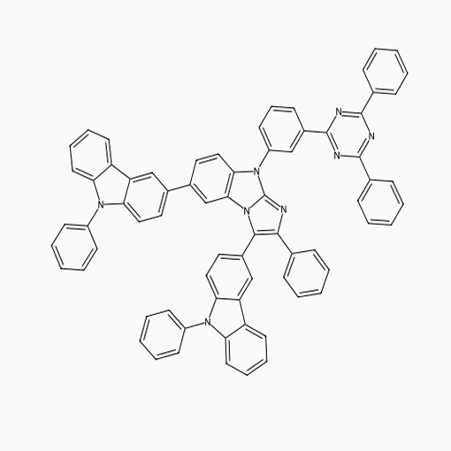 c1ccc(-c2nc(-c3ccccc3)nc(-c3cccc(-n4c5ccc(-c6ccc7c(c6)c6ccccc6n7-c6ccccc6)cc5n5c(-c6ccc7c(c6)c6ccccc6n7-c6ccccc6)c(-c6ccccc6)nc45)c3)n2)cc1